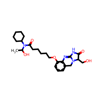 CC(O)N(C(=O)CCCCCOc1cccc2c1N=C1NC(=O)C(CO)N1C2)C1CCCCC1